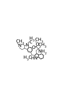 CCOC(=O)C(N)(CC)Cc1c(C(C)c2ccc3c(c2)C2CCN(CC)CC2N3CC)[nH]c2ccccc12